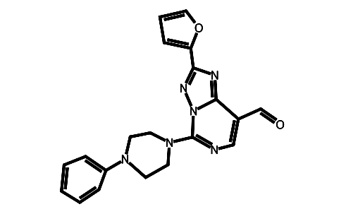 O=Cc1cnc(N2CCN(c3ccccc3)CC2)n2nc(-c3ccco3)nc12